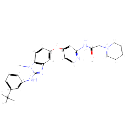 Cn1c(Nc2cccc(C(C)(C)C)c2)nc2cc(Oc3ccnc(NC(=O)CN4CCCCC4)c3)ccc21